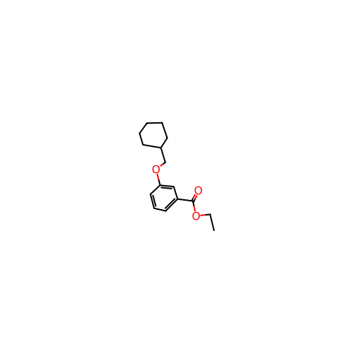 CCOC(=O)c1cccc(OCC2CCCCC2)c1